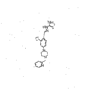 NC(=S)NN=Cc1ccc(N2CCN(Cc3ccccn3)CC2)cc1Cl